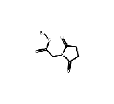 O=C(CN1C(=O)CCC1=O)OBr